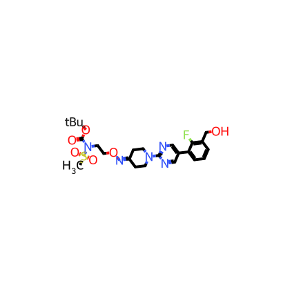 CC(C)(C)OC(=O)N(CCON=C1CCN(c2ncc(-c3cccc(CO)c3F)cn2)CC1)S(C)(=O)=O